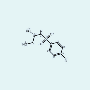 CCC(C)[C@@H](CO)NS(=O)(=O)c1ccc(Cl)cc1